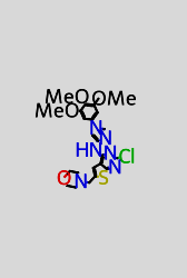 COc1cc(-n2cnc(Nc3nc(Cl)nc4sc(CN5CCOCC5)cc34)c2)cc(OC)c1OC